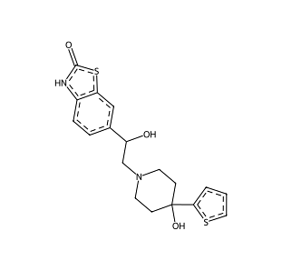 O=c1[nH]c2ccc(C(O)CN3CCC(O)(c4cccs4)CC3)cc2s1